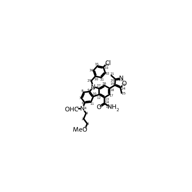 COCCCN(C=O)c1ccc2c(c1)c1c(C(N)=O)cc(-c3c(C)noc3C)cc1n2Cc1ccc(Cl)cc1